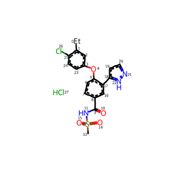 CCc1cc(Oc2ccc(C(=O)NS(C)(=O)=O)cc2-c2ccn[nH]2)ccc1Cl.Cl